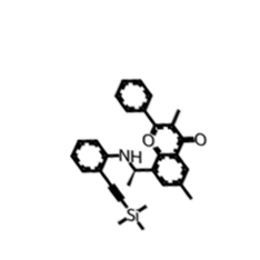 Cc1cc([C@@H](C)Nc2ccccc2C#C[Si](C)(C)C)c2oc(-c3ccccc3)c(C)c(=O)c2c1